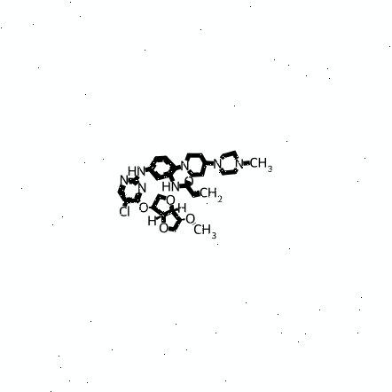 C=CC(=O)Nc1cc(Nc2ncc(Cl)c(O[C@@H]3CO[C@H]4[C@@H]3OC[C@H]4OC)n2)ccc1N1CCC(N2CCN(C)CC2)CC1